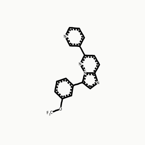 FC(F)(F)Oc1cccc(-c2cnc3ccc(-c4cccnc4)nn23)c1